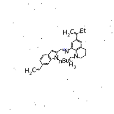 C=Cc1ccc2cc(/C=N/c3cc(C(=C)CC)cc4c3N(C)CCC4)n(CCCC)c2c1